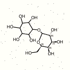 OC[C@H]1OC(OC2C(O)C(O)C(O)C(O)C2O)[C@H](O)[C@@H](O)[C@H]1O